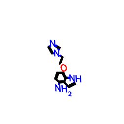 Nc1ccc(OCCn2ccnc2)c2[nH]ccc12